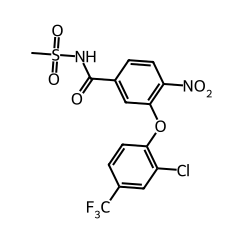 CS(=O)(=O)NC(=O)c1ccc([N+](=O)[O-])c(Oc2ccc(C(F)(F)F)cc2Cl)c1